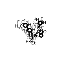 [2H]C1=C(C2=C([2H])C([2H])=C(C(F)(F)F)C(C)C2[2H])C([2H])C([2H])C(C([2H])([2H])N(C(=O)Cn2c(SC([2H])([2H])c3c([2H])c([2H])c(F)c([2H])c3[2H])nc(=O)c3c2CCC3)C([2H])([2H])C([2H])([2H])N(CC)CC)=C1[2H]